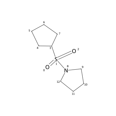 O=S(=O)(C1CCCC1)N1CCCC1